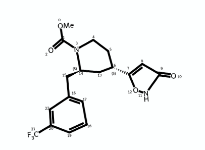 COC(=O)N1CC[C@H](c2cc(=O)[nH]o2)C[C@H]1Cc1cccc(C(F)(F)F)c1